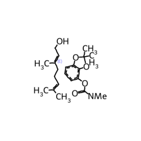 CC(C)=CCC/C(C)=C/CO.CNC(=O)Oc1cccc2c1OC(C)(C)O2